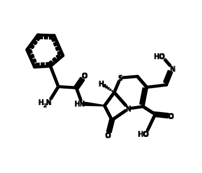 NC(C(=O)N[C@@H]1C(=O)N2C(C(=O)O)=C(/C=N\O)CS[C@H]12)c1ccccc1